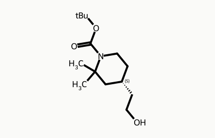 CC(C)(C)OC(=O)N1CC[C@H](CCO)CC1(C)C